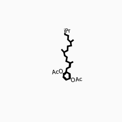 CC(=O)Oc1ccc(OC(C)=O)c(CC=C(C)CCCC(C)CCCC(C)CCCC(C)C)c1